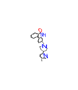 Cc1ccc(C2CCN(Cc3ccc4c(c3)[nH]c(=O)c3ccccc34)CC2)nc1